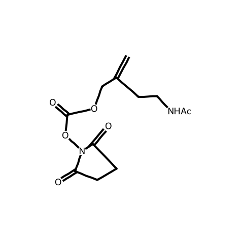 C=C(CCNC(C)=O)COC(=O)ON1C(=O)CCC1=O